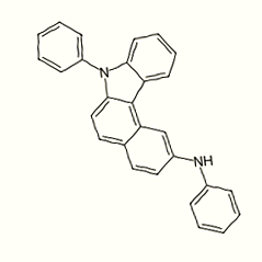 c1ccc(Nc2ccc3ccc4c(c3c2)c2ccccc2n4-c2ccccc2)cc1